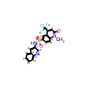 Cn1c(=O)cc(C(F)(F)F)c2cc(S(=O)(=O)Nc3cnc4ccccc4c3)ccc21